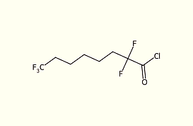 O=C(Cl)C(F)(F)CCCCCC(F)(F)F